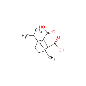 CC(C)C12CCC(C)(CC1)C(C(=O)O)C2C(=O)O